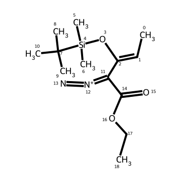 CC=C(O[Si](C)(C)C(C)(C)C)C(=[N+]=[N-])C(=O)OCC